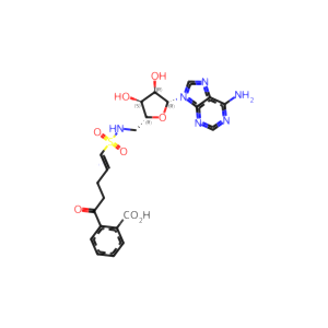 Nc1ncnc2c1ncn2[C@@H]1O[C@H](CNS(=O)(=O)/C=C/CCC(=O)c2ccccc2C(=O)O)[C@@H](O)[C@H]1O